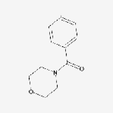 O=C(c1cc[c]cc1)N1CCOCC1